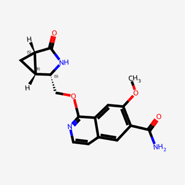 COc1cc2c(OC[C@H]3NC(=O)[C@H]4C[C@H]43)nccc2cc1C(N)=O